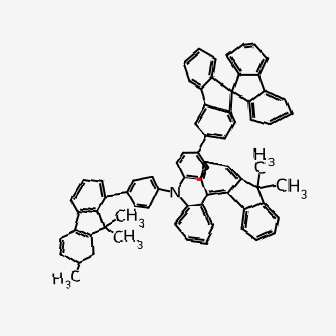 CC1C=CC2=C(C1)C(C)(C)c1c2cccc1-c1ccc(N(c2ccc(-c3ccc4c(c3)-c3ccccc3C43c4ccccc4-c4ccccc43)cc2)c2ccccc2-c2cccc3c2-c2ccccc2C3(C)C)cc1